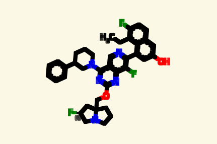 CCc1c(F)ccc2cc(O)cc(-c3ncc4c(N5CCCC(c6ccccc6)C5)nc(OCC56CCCN5C[C@H](F)C6)nc4c3F)c12